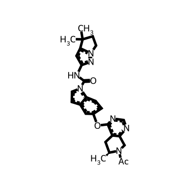 CC(=O)N1Cc2ncnc(Oc3ccc4c(ccn4C(=O)Nc4cc5n(n4)CCC5(C)C)c3)c2C[C@@H]1C